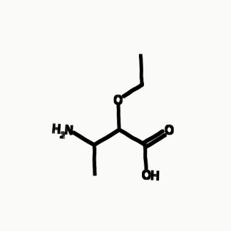 CCOC(C(=O)O)C(C)N